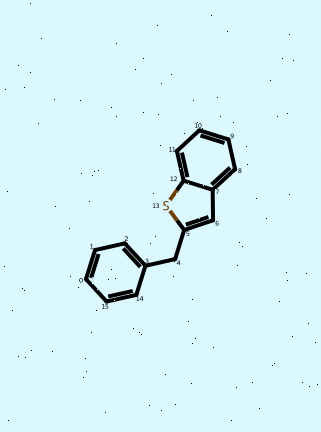 c1ccc(Cc2cc3ccccc3s2)cc1